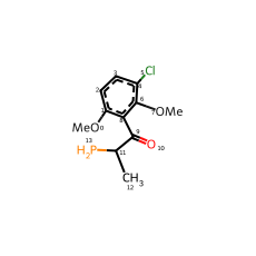 COc1ccc(Cl)c(OC)c1C(=O)C(C)P